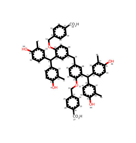 Cc1cc(C(c2ccc(O)c(C)c2)c2cc(Cc3ccc(OCc4ccc(C(=O)O)cc4)c(C(c4ccc(O)c(C)c4)c4ccc(O)c(C)c4)c3)ccc2OCc2ccc(C(=O)O)cc2)ccc1O